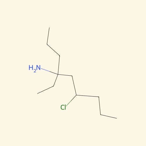 CCCC(Cl)CC(N)(CC)CCC